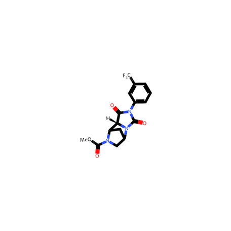 COC(=O)N1CC2CC1[C@@H]1C(=O)N(c3cccc(C(F)(F)F)c3)C(=O)N21